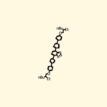 CCCCC(CC)COc1ccc(-c2ccc(-c3ccc(-c4ccc(-c5ccc(OCC(CC)CCCC)cc5)cc4)c4nsnc34)cc2)cc1